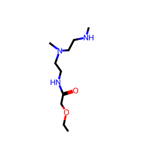 CCOCC(=O)NCCN(C)CCNC